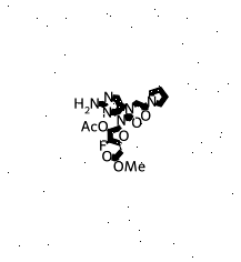 COC(=O)C[C@H]1O[C@@H](n2c(=O)n(CC(=O)N3CCCC3)c3cnc(N)nc32)[C@H](OC(C)=O)[C@@H]1F